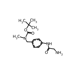 CN(Cc1ccc(NC(=O)CN)cc1)C(=O)OC(C)(C)C